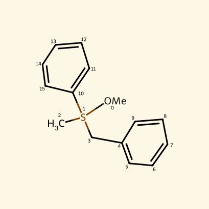 COS(C)(Cc1ccccc1)c1ccccc1